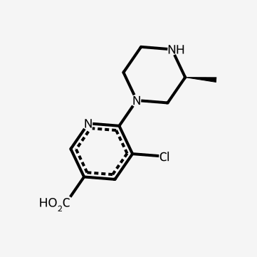 C[C@H]1CN(c2ncc(C(=O)O)cc2Cl)CCN1